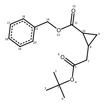 CC(C)(C)OC(=O)CC1CC1C(=O)OCc1ccccc1